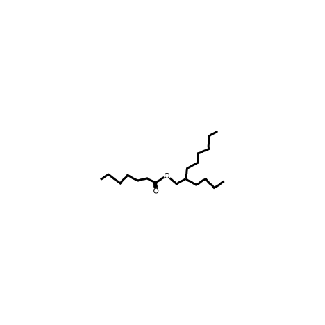 CCCCCCC(=O)OCC(CCCC)CCCCCC